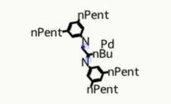 CCCCCc1cc(CCCCC)cc(/N=C/C(CCCC)=N/c2cc(CCCCC)cc(CCCCC)c2)c1.[Pd]